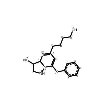 N#CC1CNN2C(Sc3ccccc3)=CC(CCCCO)=NC12